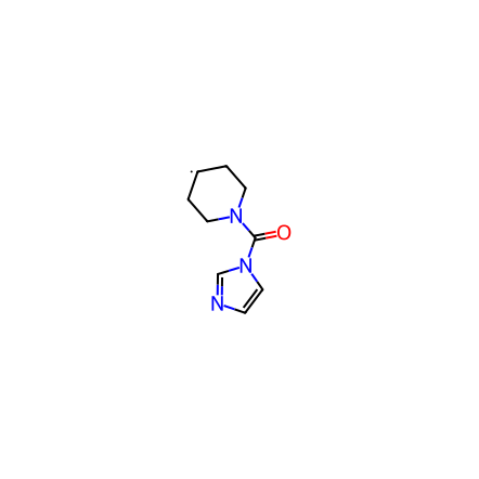 O=C(N1CC[CH]CC1)n1ccnc1